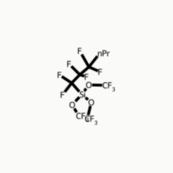 CCCC(F)(F)C(F)(F)C(F)(F)[Si](OC(F)(F)F)(OC(F)(F)F)OC(F)(F)F